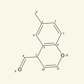 Cc1ccc2c(c1)C(C=O)C=CO2